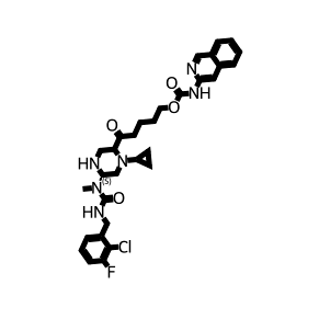 CN(C(=O)NCc1cccc(F)c1Cl)[C@H]1CN(C2CC2)C(C(=O)CCCCOC(=O)Nc2cc3ccccc3cn2)CN1